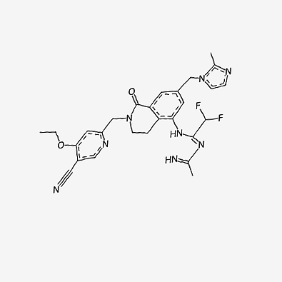 CCOc1cc(CN2CCc3c(N/C(=N\C(C)=N)C(F)F)cc(Cn4ccnc4C)cc3C2=O)ncc1C#N